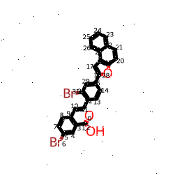 O=C(O)c1cc(Br)ccc1C=Cc1ccc(-c2cc3c(ccc4ccccc43)o2)cc1Br